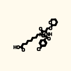 O=C(O)CCCCCCCNC(=O)C(COC1CCCCO1)NS(=O)(=O)c1ccc(Cl)cc1